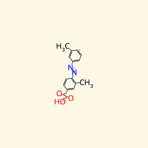 Cc1[c]ccc(/N=N/c2ccc(S(=O)(=O)O)cc2C)c1